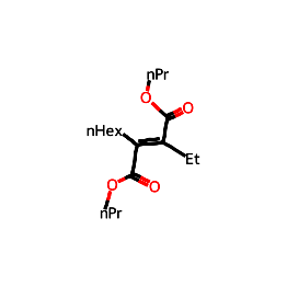 CCCCCCC(C(=O)OCCC)=C(CC)C(=O)OCCC